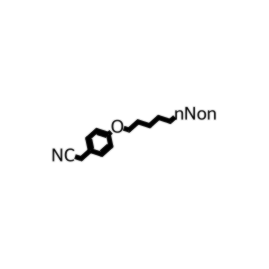 CCCCCCCCCCCCCCOc1ccc(CC#N)cc1